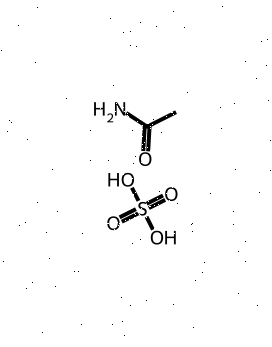 CC(N)=O.O=S(=O)(O)O